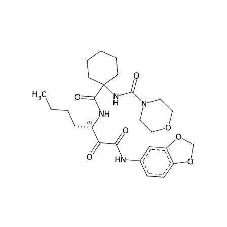 CCCC[C@H](NC(=O)C1(NC(=O)N2CCOCC2)CCCCC1)C(=O)C(=O)Nc1ccc2c(c1)OCO2